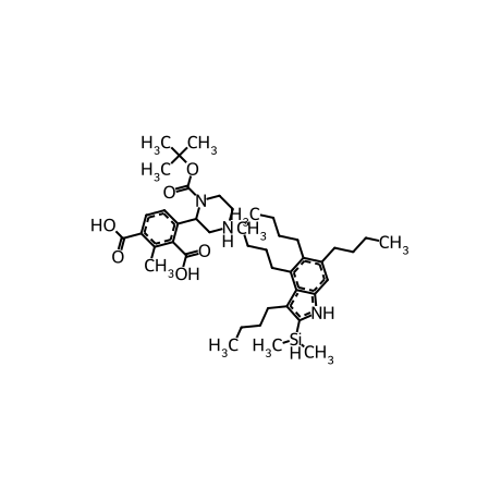 CCCCc1cc2[nH]c([SiH](C)C)c(CCCC)c2c(CCCC)c1CCCC.Cc1c(C(=O)O)ccc(C2CNCCN2C(=O)OC(C)(C)C)c1C(=O)O